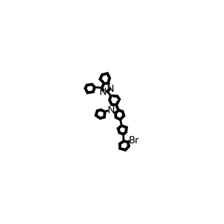 Brc1ccccc1-c1ccc(-c2ccc3c4ccc(-c5nc(-c6ccccc6)c6ccccc6n5)cc4n(-c4ccccc4)c3c2)cc1